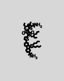 CCCCCCC1(CCCCCC)c2cc(-c3ccc(C4=C5C(=O)N(CC(CC)CCCC)C(c6ccc(C(C)(C)N)s6)=C5C(=O)N4CC(CC)CCCC)s3)ccc2-c2ccc(C(C)(C)N)cc21